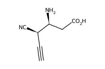 C#C[C@@H](C#N)[C@@H](N)CC(=O)O